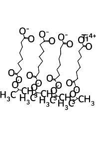 CC(C)OOC(=O)CCCCCCC(=O)[O-].CC(C)OOC(=O)CCCCCCC(=O)[O-].CC(C)OOC(=O)CCCCCCC(=O)[O-].CC(C)OOC(=O)CCCCCCC(=O)[O-].[Ti+4]